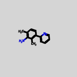 Cc1ccc(-c2ccccn2)c(C)c1N